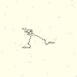 CCCCC/C=C\C/C=C\CCCCCCCCC1(CCCCC/C=C\C/C=C\CCCCCCCC)O[C@H]2CC(C)N[C@@H]2O1